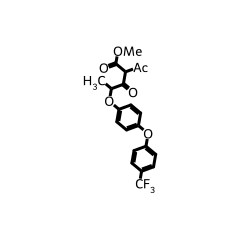 COC(=O)C(C(C)=O)C(=O)C(C)Oc1ccc(Oc2ccc(C(F)(F)F)cc2)cc1